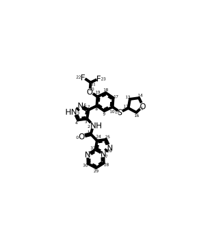 O=C(Nc1c[nH]nc1-c1cc(SC2CCOC2)ccc1OC(F)F)c1cnn2cccnc12